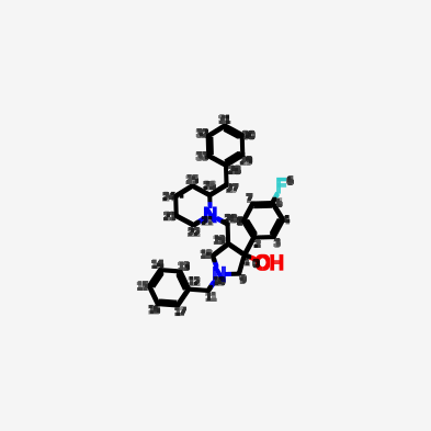 OC1(c2ccc(F)cc2)CN(Cc2ccccc2)CC1CN1CC[CH]CC1Cc1ccccc1